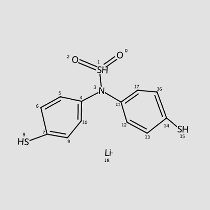 O=[SH](=O)N(c1ccc(S)cc1)c1ccc(S)cc1.[Li]